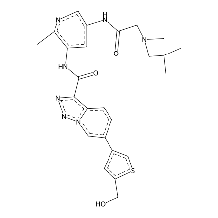 Cc1ncc(NC(=O)CN2CC(C)(C)C2)cc1NC(=O)c1nnn2cc(-c3csc(CO)c3)ccc12